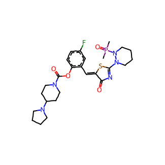 CP(C)(=O)N1CCCCN1C1=NC(=O)/C(=C/c2cc(F)ccc2OC(=O)N2CCC(N3CCCC3)CC2)S1